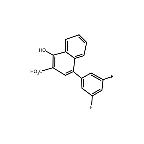 O=C(O)c1cc(-c2cc(F)cc(F)c2)c2ccccc2c1O